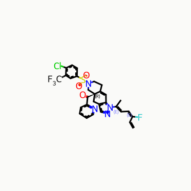 C=C/C(F)=C\C=C(/C)n1ncc2c1C=C1CCN(S(=O)(=O)c3ccc(Cl)c(C(F)(F)F)c3)C[C@@]1(C(=O)c1ccccn1)C2